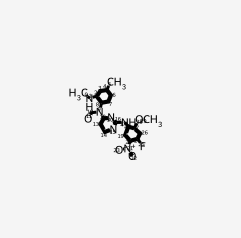 CNc1cc(C)ccc1N(C=O)c1ccnc(Nc2cc([N+](=O)[O-])c(F)cc2OC)n1